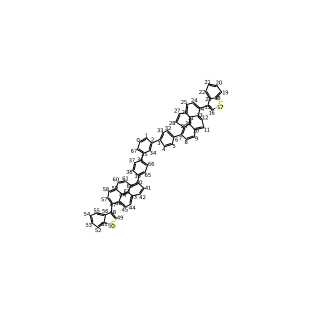 c1cc(-c2ccc(-c3ccc4ccc5c(-c6csc7ccccc67)ccc6ccc3c4c65)cc2)cc(-c2ccc(-c3ccc4ccc5c(-c6csc7ccccc67)ccc6ccc3c4c65)cc2)c1